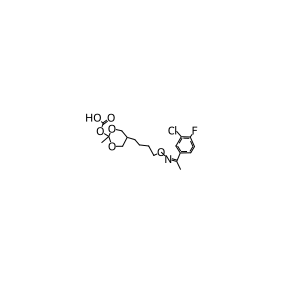 CC(=NOCCCCC1COC(C)(OC(=O)O)OC1)c1ccc(F)c(Cl)c1